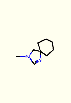 CN1C=NC2(CCCCC2)C1